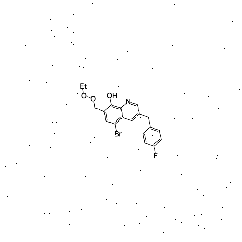 CCOOCc1cc(Br)c2cc(Cc3ccc(F)cc3)cnc2c1O